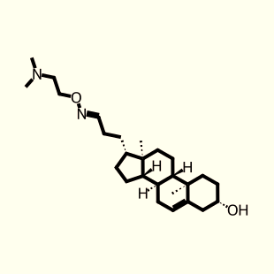 CN(C)CCO/N=C/CC[C@H]1CC[C@H]2[C@@H]3CC=C4C[C@@H](O)CC[C@]4(C)[C@H]3CC[C@]12C